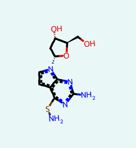 NSc1nc(N)nc2c1ccn2[C@@H]1C[C@H](O)[C@@H](CO)O1